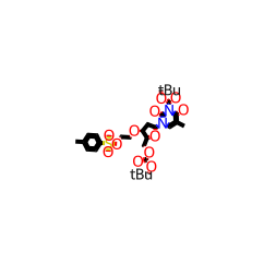 Cc1ccc(S(=O)(=O)OCCO[C@H]2CC(n3cc(C)c(=O)n(C(=O)OC(C)(C)C)c3=O)OC2COC(=O)OC(C)(C)C)cc1